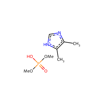 COP(=O)(O)OC.Cc1nc[nH]c1C